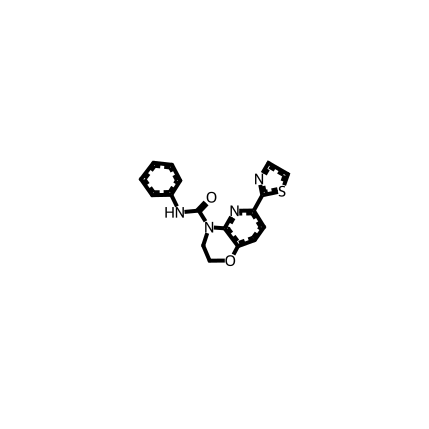 O=C(Nc1ccccc1)N1CCOc2ccc(-c3nccs3)nc21